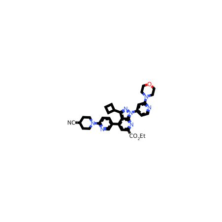 CCOC(=O)c1cc(-c2ccc(N3CCC(C#N)CC3)nc2)c2c(C3CCC3)nn(-c3ccnc(N4CCOCC4)c3)c2n1